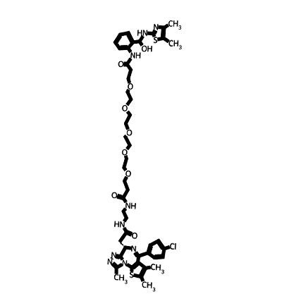 Cc1nc(NC(O)c2ccccc2NC(=O)CCOCCOCCOCCOCCOCCC(=O)NCCNC(=O)C[C@@H]2N=C(c3ccc(Cl)cc3)c3c(sc(C)c3C)-n3c(C)nnc32)sc1C